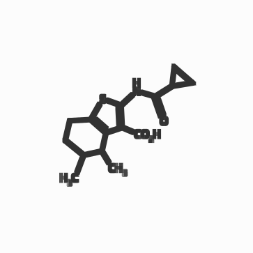 CC1CCc2sc(NC(=O)C3CC3)c(C(=O)O)c2C1C